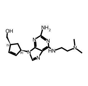 CN(C)CCNc1nc(N)nc2c1ncn2[C@H]1C=C[C@@H](CO)C1